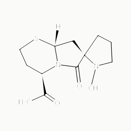 CC(=O)[C@H]1CCS[C@@H]2C[C@]3(CCCN3C)C(=O)N12